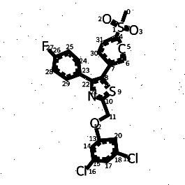 CS(=O)(=O)c1ccc(-c2sc(COc3cc(Cl)cc(Cl)c3)nc2-c2ccc(F)cc2)cc1